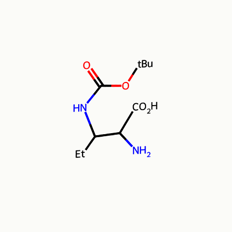 CCC(NC(=O)OC(C)(C)C)C(N)C(=O)O